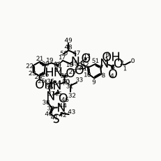 CCOC(=O)N(O)c1cccc(S(=O)(=O)N(CC[C@H](Cc2cccc(O)c2)NC(=O)[C@H](C(C)C)N2CCN(Cc3csc(C)n3)C2=O)CC(C)C)c1